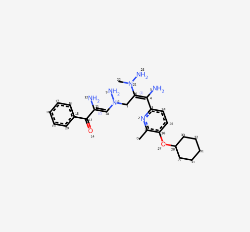 Cc1nc(/C(N)=C(\CN(N)/C=C(\N)C(=O)c2ccccc2)N(C)N)ccc1OC1CCCCC1